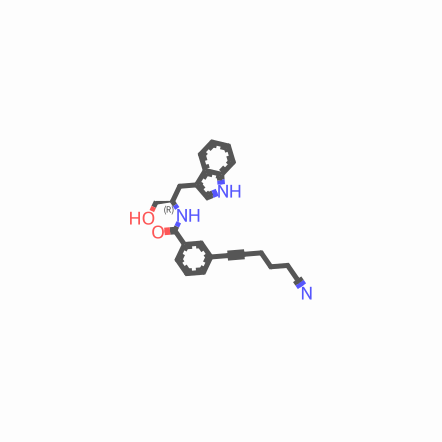 N#CCCCC#Cc1cccc(C(=O)N[C@@H](CO)Cc2c[nH]c3ccccc23)c1